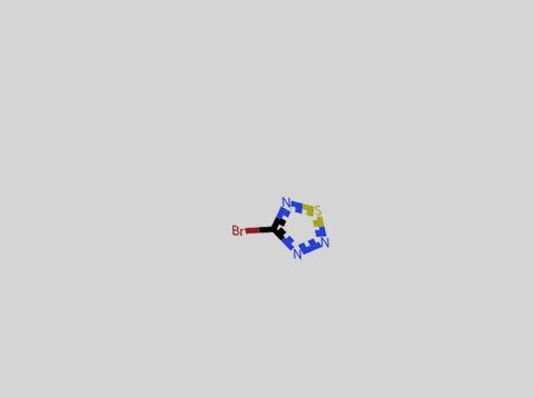 Brc1nnsn1